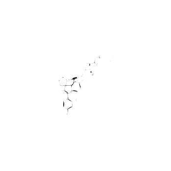 O=C(O)C[C@H](O)C[PH](=O)OCC#CC1CCCC12C=C(c1ccc(F)cc1)c1ccccc12